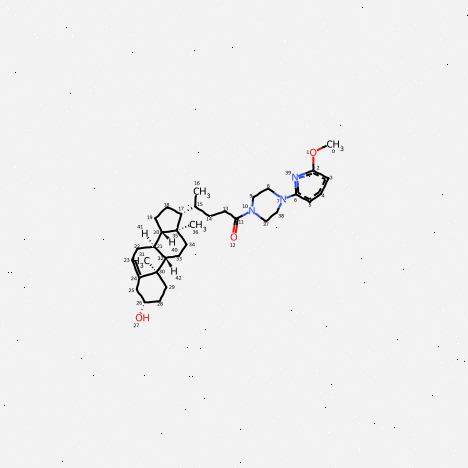 COc1cccc(N2CCN(C(=O)CCC(C)[C@H]3CC[C@H]4[C@@H]5CC=C6C[C@@H](O)CC[C@]6(C)[C@H]5CC[C@]34C)CC2)n1